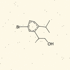 C[C](CO)c1cc(Br)ccc1C(C)C